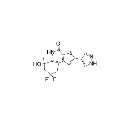 CC1(O)CC(F)(F)Cc2c1[nH]c(=O)c1sc(-c3cn[nH]c3)cc21